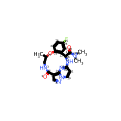 CC1CNC(=O)c2cnn3ccc(nc23)NC(C(=O)N(C)C)c2cc(F)ccc2O1